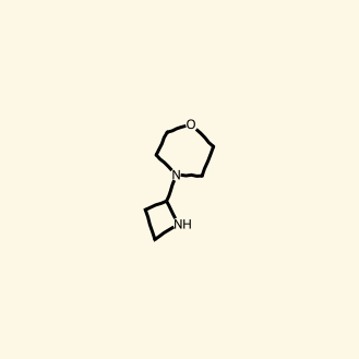 C1CC(N2CCOCC2)N1